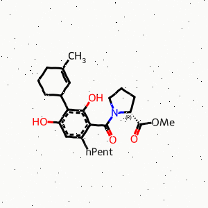 CCCCCc1cc(O)c(C2C=C(C)CCC2)c(O)c1C(=O)N1CCC[C@@H]1C(=O)OC